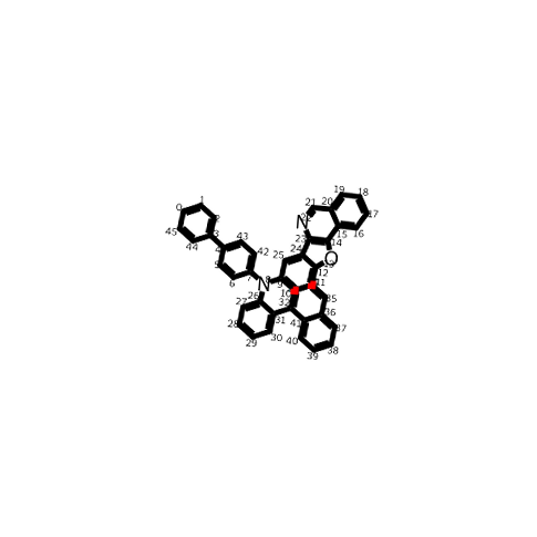 c1ccc(-c2ccc(N(c3ccc4oc5c6ccccc6cnc5c4c3)c3ccccc3-c3cccc4ccccc34)cc2)cc1